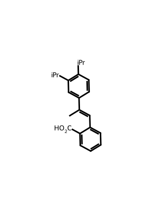 CC(=Cc1ccccc1C(=O)O)c1ccc(C(C)C)c(C(C)C)c1